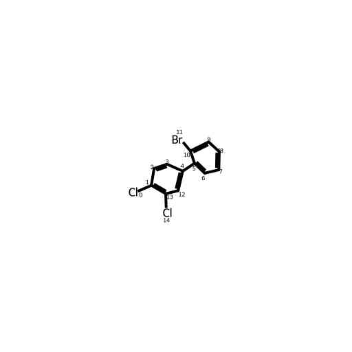 Clc1ccc(-c2cc[c]cc2Br)cc1Cl